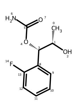 C[C@H](O)[C@@H](OC(N)=O)c1ccccc1F